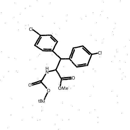 COC(=O)C(NC(=O)OC(C)(C)C)C(c1ccc(Cl)cc1)c1ccc(Cl)cc1